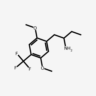 CCC(N)Cc1cc(OC)c(C(F)(F)F)cc1OC